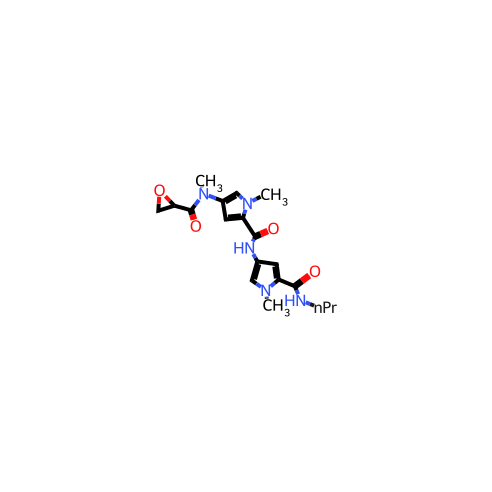 [CH2]CCNC(=O)c1cc(NC(=O)c2cc(N(C)C(=O)C3CO3)cn2C)cn1C